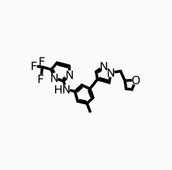 Cc1cc(Nc2nccc(C(F)(F)F)n2)cc(-c2cnn(CC3CCO3)c2)c1